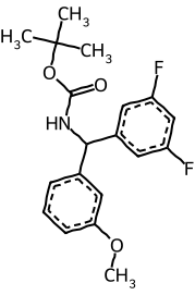 COc1cccc(C(NC(=O)OC(C)(C)C)c2cc(F)cc(F)c2)c1